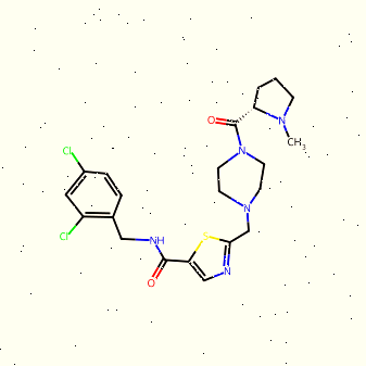 CN1CCC[C@H]1C(=O)N1CCN(Cc2ncc(C(=O)NCc3ccc(Cl)cc3Cl)s2)CC1